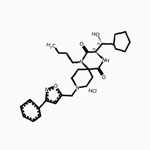 CCCCN1C(=O)[C@@H]([C@H](O)C2CCCCC2)NC(=O)C12CCN(Cc1cc(-c3ccccc3)no1)CC2.Cl